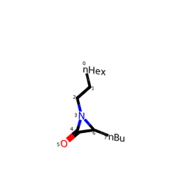 CCCCCCCCN1C(=O)C1CCCC